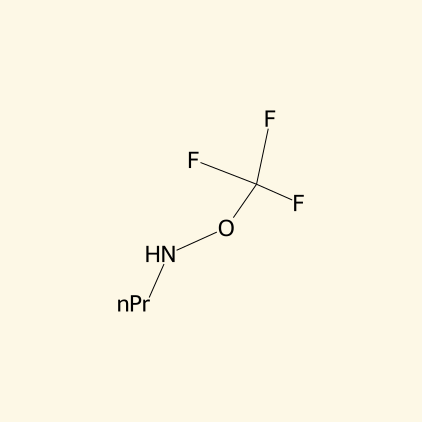 CCCNOC(F)(F)F